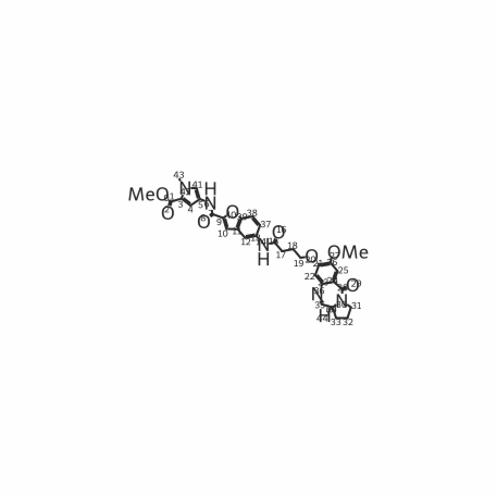 COC(=O)c1cc(NC(=O)c2cc3cc(NC(=O)CCCOc4cc5c(cc4OC)C(=O)N4CCC[C@H]4C=N5)ccc3o2)cn1C